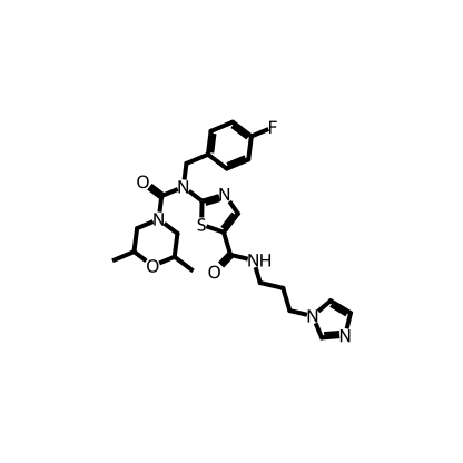 CC1CN(C(=O)N(Cc2ccc(F)cc2)c2ncc(C(=O)NCCCn3ccnc3)s2)CC(C)O1